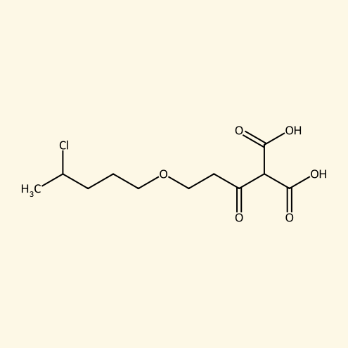 CC(Cl)CCCOCCC(=O)C(C(=O)O)C(=O)O